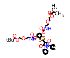 C=C(C)C(=O)OCCOCCNC(=O)Oc1ccc(OC(=O)NCCOCCOC(=O)C(C)(C)C)c2c1SC(=C1C(=O)N(c3ccccc3)N(c3ccccc3)C1=O)S2